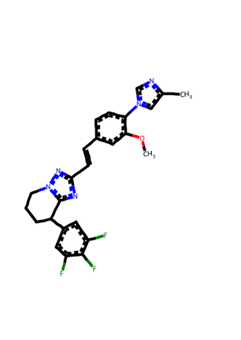 COc1cc(/C=C/c2nc3n(n2)CCCC3c2cc(F)c(F)c(F)c2)ccc1-n1cnc(C)c1